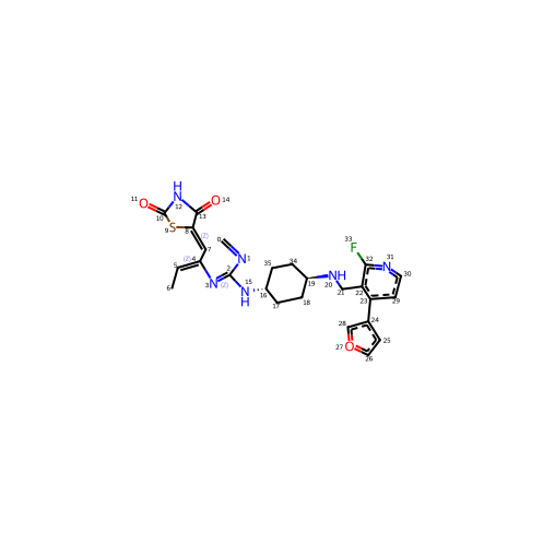 C=N\C(=N/C(=C\C)/C=C1\SC(=O)NC1=O)N[C@H]1CC[C@H](NCc2c(-c3ccoc3)ccnc2F)CC1